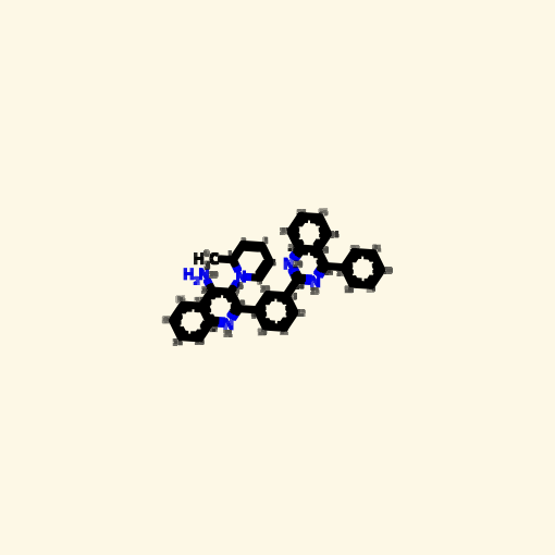 CC1C=CC=CN1c1c(-c2cccc(-c3nc(-c4ccccc4)c4ccccc4n3)c2)nc2ccccc2c1N